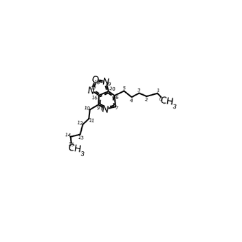 CCCCCCc1cnc(CCCCCC)c2nonc12